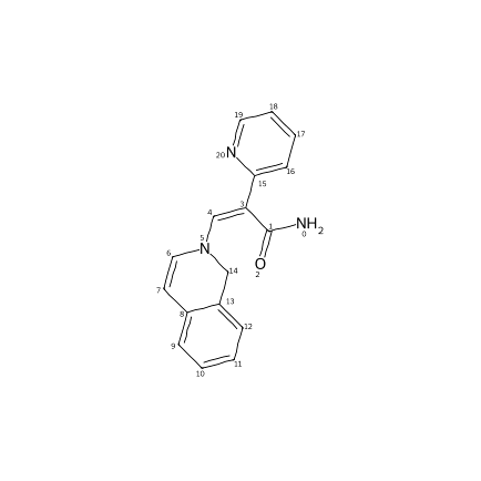 NC(=O)C(=CN1C=Cc2ccccc2C1)c1ccccn1